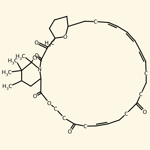 CC1CC2C(=O)OCCC(=O)CC=CCCC(=O)CCCC=CC=CC=CCCC3CCCC(C)(O3)C(=O)C(=O)N2C(C)(C)C1(C)C